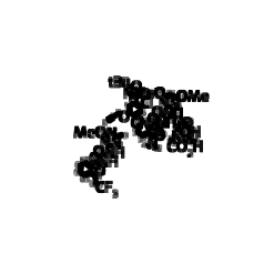 C#CCOc1cc(-n2nc(C(C)(C)C)oc2=O)c(Cl)cc1Cl.COc1cc(OC)nc(NC(=O)NS(=O)(=O)c2ncccc2C(=O)N(C)C)n1.COc1nc(C)nc(NC(=O)NS(=O)(=O)c2ccccc2CCC(F)(F)F)n1.C[S+](C)C.O=C(O)CNCP(=O)([O-])O